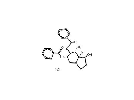 Cl.O=C(O[C@H]1[C@H](O)[C@H]2[C@@H](O)CCN2C[C@@H]1OC(=O)c1ccccc1)c1ccccc1